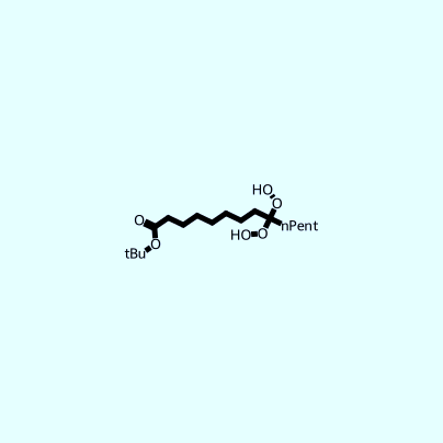 CCCCCC(CCCCCCCC(=O)OC(C)(C)C)(OO)OO